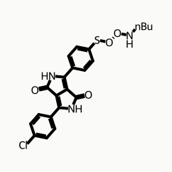 CCCCNOOSc1ccc(C2=C3C(=O)NC(c4ccc(Cl)cc4)=C3C(=O)N2)cc1